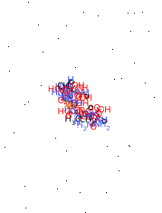 CC(C)[C@H](NC(=O)[C@H](Cc1ccccc1)NC(=O)[C@@H]1CCCN1C(=O)[C@H](CCC(=O)O)NC(=O)[C@H](Cc1ccccc1)NC(=O)[C@@H](N)CC(N)=O)C(=O)N[C@@H](CCC(=O)O)C(=O)N[C@@H](CC(=O)O)C(=O)N[C@@H](Cc1c[nH]cn1)C(=O)N[C@@H](CS)C(=O)NCC(=O)N[C@H](C(=O)N[C@@H](Cc1ccccc1)C(=O)N[C@@H](CO)C(=O)N[C@@H](CO)C(=O)N[C@@H](Cc1ccccc1)C(=O)O)[C@@H](C)O